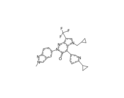 Cn1cc2cc(-n3nc4c(C(F)(F)F)cn(CC5CC5)c4c(-c4ccc(C5CC5)nc4)c3=O)ccc2n1